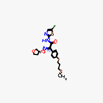 CSCCCSc1ccc(/C(=N\O[C@@H]2CCOC2)C(=O)Nc2ncc(F)s2)cc1